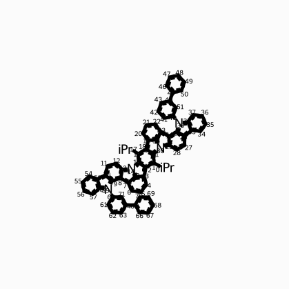 CC(C)c1c2c3cccc4c5c6c(ccc5n(c2c(C(C)C)c2c5cccc7c8c9c(ccc8n(c12)c57)c1ccccc1n9-c1cccc(-c2ccccc2)c1)c34)c1ccccc1n6-c1cccc(-c2ccccc2)c1